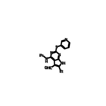 CCc1[nH]c2nc(Sc3cccnc3)nc(NC(C)C)c2c1C=O